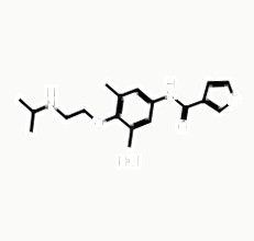 Cc1cc(NC(=O)c2ccoc2)cc(C)c1OCCNC(C)C.Cl